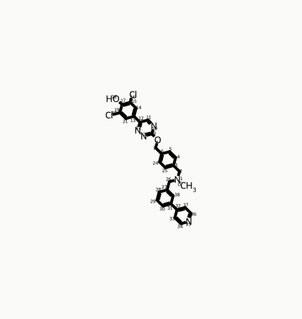 CN(Cc1ccc(COc2ncc(-c3cc(Cl)c(O)c(Cl)c3)nn2)cc1)Cc1cccc(-c2ccncc2)c1